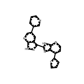 c1cncc(-c2cnc3[nH]nc(-c4nc5c(-c6cccs6)ccnc5[nH]4)c3c2)c1